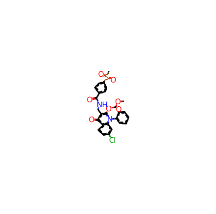 COC(=O)Oc1c(CNC(=O)c2ccc(S(C)(=O)=O)cc2)c(=O)c2ccc(Cl)cc2n1-c1ccccc1